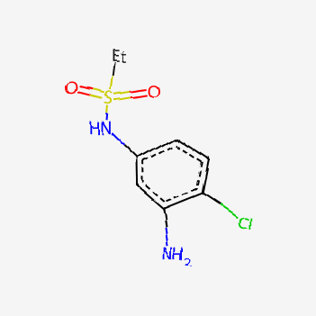 CCS(=O)(=O)Nc1ccc(Cl)c(N)c1